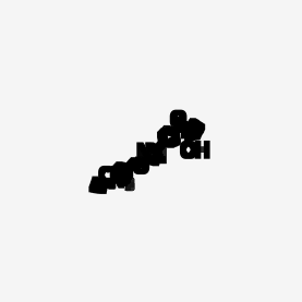 CC1(CN2CCC(COc3cnc(-c4ccc(C(=O)N5CCC[C@@H]5CO)cc4)cn3)CC2)CCC1